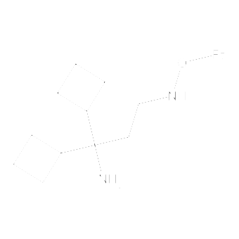 CCONCCC(N)(C1CCC1)C1CCC1